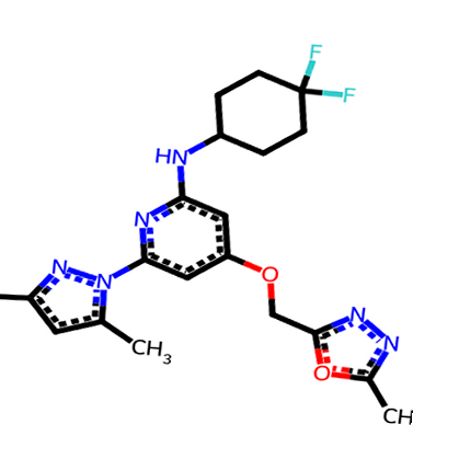 Cc1cc(C)n(-c2cc(OCc3nnc(C)o3)cc(NC3CCC(F)(F)CC3)n2)n1